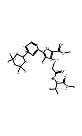 COC(=O)c1sc(-c2cccc(C3CC(C)(C)CC(C)(C)C3)c2)c(C)c1OCC(=O)NC(C(=O)OC)C(C)C